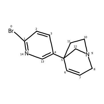 Brc1ccc(C23C=CCN(CC2)C3)cn1